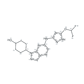 OC1CCC(n2ncc3ncc(Nc4cc(OC(F)F)[nH]n4)nc32)CC1